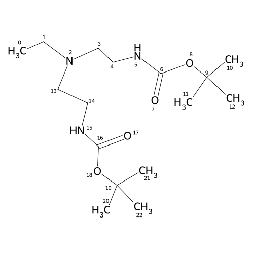 CCN(CCNC(=O)OC(C)(C)C)CCNC(=O)OC(C)(C)C